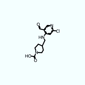 O=Cc1cnc(Cl)cc1NCC1CCN(C(=O)O)CC1